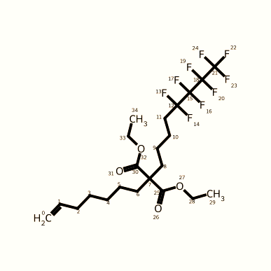 C=CCCCCCC(CCCCC(F)(F)C(F)(F)C(F)(F)C(F)(F)F)(C(=O)OCC)C(=O)OCC